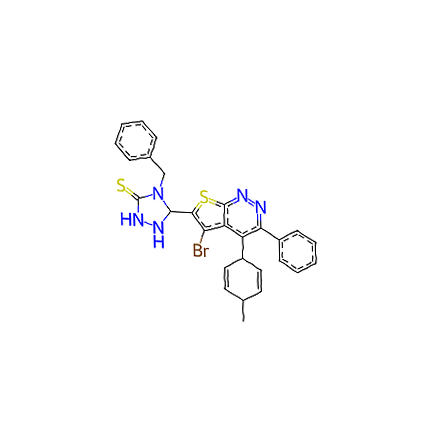 CC1C=CC(c2c(-c3ccccc3)nnc3sc(C4NNC(=S)N4Cc4ccccc4)c(Br)c23)C=C1